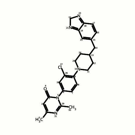 Cc1cc(=O)n(-c2ccc(N3CCC(Cc4ccc5c(c4)=NCN=5)CC3)c(Cl)c2)c(C)n1